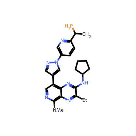 CCc1nc2c(NC)ncc(-c3cnn(-c4ccc(C(C)P)nc4)c3)c2nc1NC1CCCC1